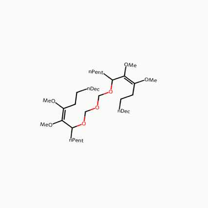 CCCCCCCCCCCCC(OC)=C(OC)C(CCCCC)OCOCOC(CCCCC)C(OC)=C(CCCCCCCCCCCC)OC